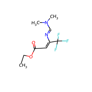 CCOC(=O)C=C(N=CN(C)C)C(F)(F)F